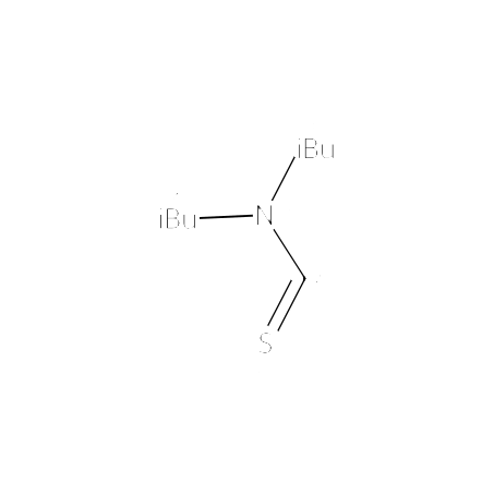 CCC(C)N(C=S)C(C)CC